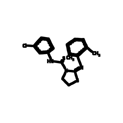 Cc1cccc(C)c1/N=C1/SCCN1C(=S)Nc1cccc(Cl)c1